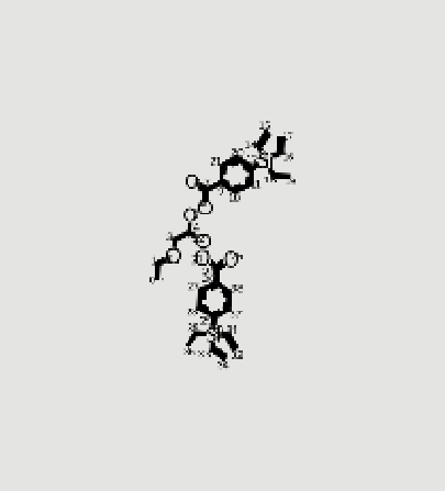 [CH2]COC[C](OOC(=O)c1ccc([Si](C=C)(C=C)CC)cc1)OOC(=O)c1ccc([Si](C=C)(C=C)CC)cc1